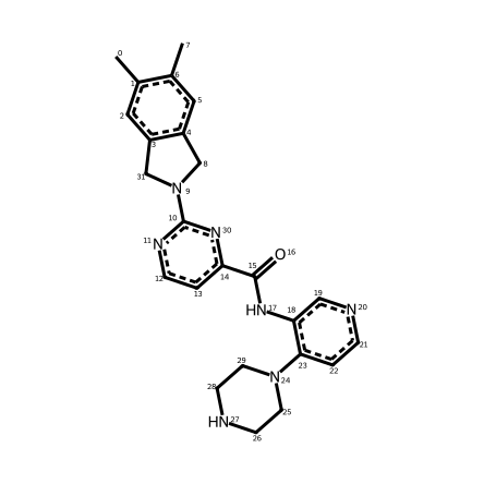 Cc1cc2c(cc1C)CN(c1nccc(C(=O)Nc3cnccc3N3CCNCC3)n1)C2